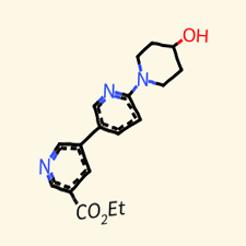 CCOC(=O)c1cncc(-c2ccc(N3CCC(O)CC3)nc2)c1